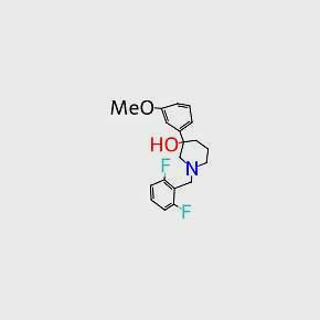 COc1cccc(C2(O)CCCN(Cc3c(F)cccc3F)C2)c1